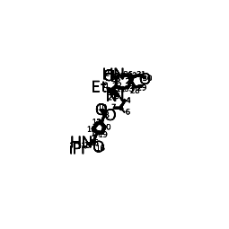 CCc1nn(C[C@@H](C)COC(=O)c2ccc(C(=O)NC(C)C)cc2)c2c1C(=O)NCC1(CCOCC1)C2